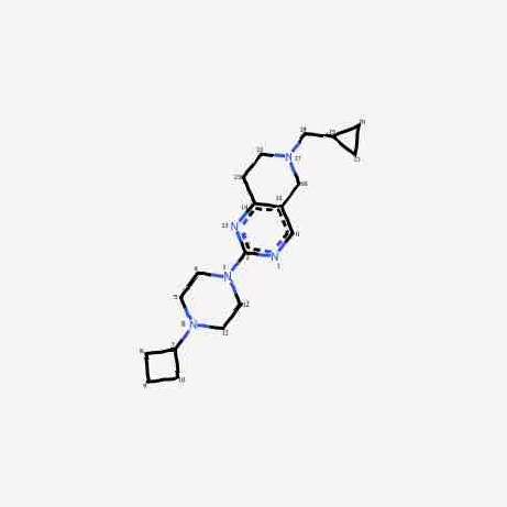 c1nc(N2CCN(C3CCC3)CC2)nc2c1CN(CC1CC1)CC2